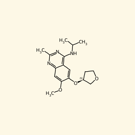 COc1cc2nc(C)nc(NC(C)C)c2cc1O[C@H]1CCOC1